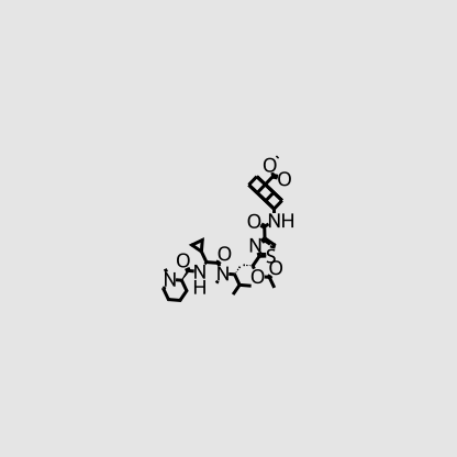 COC(=O)C12C3C4C1C1C2C3C41NC(=O)c1csc([C@@H](C[C@H](C(C)C)N(C)C(=O)[C@@H](NC(=O)[C@H]2CCCCN2C)C2CC2)OC(C)=O)n1